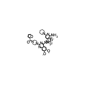 COc1cc2nc(N3CCN(C(=O)c4ccco4)CC3)nc(N)c2cc1OC.Nc1cc(N2CCCCC2)nc(N)[n+]1[O-]